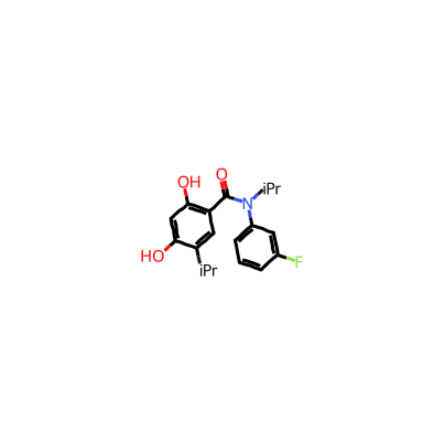 CC(C)c1cc(C(=O)N(c2cccc(F)c2)C(C)C)c(O)cc1O